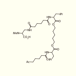 CNC(CNC(=O)CCCCC(=O)NC(CC(C)C)C(=O)OCCCCCOC(=O)C(CC(C)C)NC(=O)CCCCC(C)=O)C(=O)O